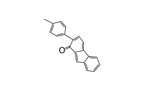 Cc1ccc(C2=CC=C3C(=Cc4ccccc43)C2=O)cc1